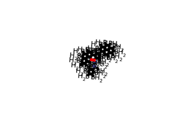 BC/C(=C(B)\C(B)=C(/C#C)c1c(B)c(B)c(-c2c(B)c(B)c3c(B)c(B)c4c(B)c(B)c(B)c5c(B)c(B)c2c3c45)c(B)c1-c1c(B)c(B)c2c(B)c(B)c3c(B)c(B)c(B)c4c(B)c(B)c1c2c34)c1c(B)c(B)c(B)c(B)c1B